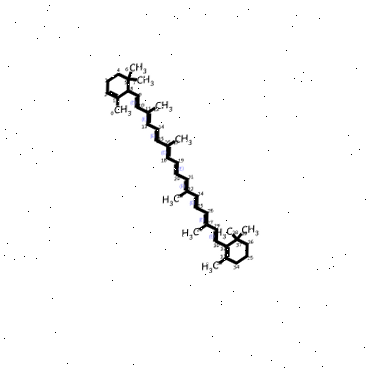 CC1=CCCC(C)(C)C1/C=C/C(C)=C/C=C/C(C)=C/C=C/C=C(C)/C=C/C=C(C)/C=C/C1=C(C)CCCC1(C)C